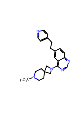 O=C(O)N1CCC2(CC1)CN(c1ncnc3ccc(CCc4ccncc4)cc13)C2